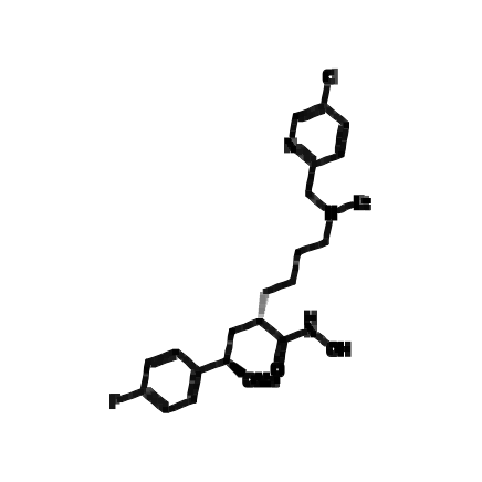 CCN(CCCC[C@@H](C[C@@H](OC)c1ccc(F)cc1)C(=O)NO)Cc1ccc(Cl)cn1